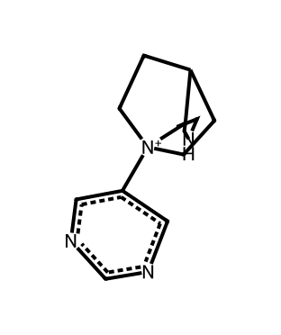 c1ncc([N+]23CCC(CC2)C32CCNC2)cn1